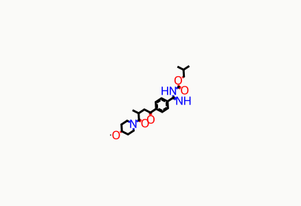 CC(C)COC(=O)NC(=N)c1ccc(C(=O)CC(C)C(=O)N2CCC([O])CC2)cc1